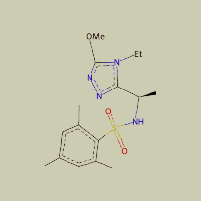 CCn1c(OC)nnc1[C@@H](C)NS(=O)(=O)c1c(C)cc(C)cc1C